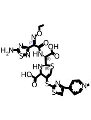 CCO/N=C(\C(=O)N[C@H](C(=O)O)[C@@H]1NC(C(=O)O)C(Sc2nc(-c3cc[n+](C)cc3)cs2)=CS1)c1nsc(N)n1